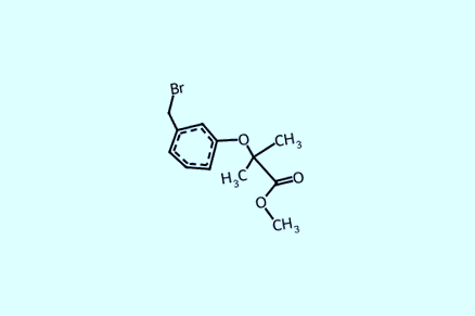 COC(=O)C(C)(C)Oc1cccc(CBr)c1